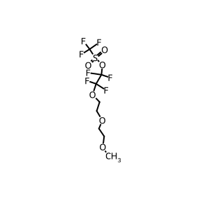 COCCOCCOC(F)(F)C(F)(F)OS(=O)(=O)C(F)(F)F